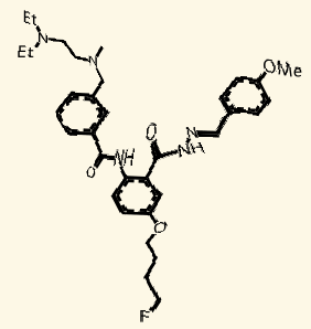 CCN(CC)CCN(C)Cc1cccc(C(=O)Nc2ccc(OCCCCF)cc2C(=O)NN=Cc2ccc(OC)cc2)c1